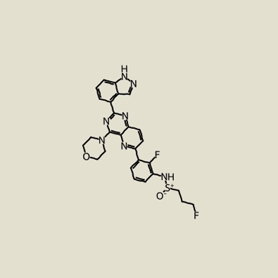 [O-][S+](CCCF)Nc1cccc(-c2ccc3nc(-c4cccc5[nH]ncc45)nc(N4CCOCC4)c3n2)c1F